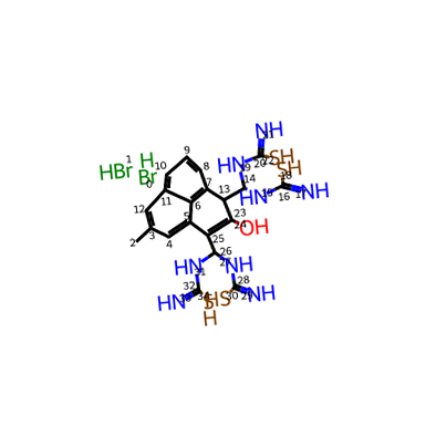 Br.Br.Cc1cc2c3c(cccc3c1)C(C(NC(=N)S)NC(=N)S)C(O)=C2C(NC(=N)S)NC(=N)S